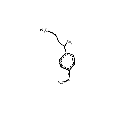 CCCC(C)c1ccc(SC)cc1